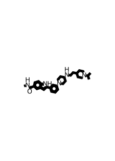 CNC(=O)c1ccc2[nH]c(-c3cccc(N4CCC(NCCC5CCN(C(C)C)CC5)CC4)c3)cc2c1